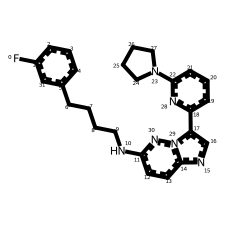 Fc1cccc(CCCCNc2ccc3ncc(-c4cccc(N5CCCC5)n4)n3n2)c1